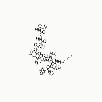 CCCCCCCC[C@H](NC(=O)[C@@H]1CCCN1C(=O)c1coc(C)n1)C(=O)N[C@@H](CC(C)C)C(=O)NC(C)(C)C(=O)N[C@@H](CC(C)C)C(=O)N[C@@H](CC(C)C)C(=O)NC(C)(C)C(=O)NC(C)(C)C(=O)NCCC(=O)NC1(CN(C)C)CCC1